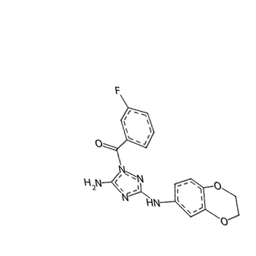 Nc1nc(Nc2ccc3c(c2)OCCO3)nn1C(=O)c1cccc(F)c1